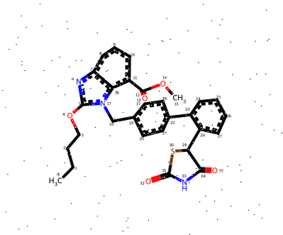 CCCCOc1nc2cccc(C(=O)OC)c2n1Cc1ccc(-c2ccccc2C2SC(=O)NC2=O)cc1